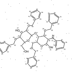 OCC1OC(OC2C(COCc3ccccc3)OC(O)C(Nc3ccccc3)C2OCc2ccccc2)C(OCc2ccccc2)C(O)C1OCc1ccccc1